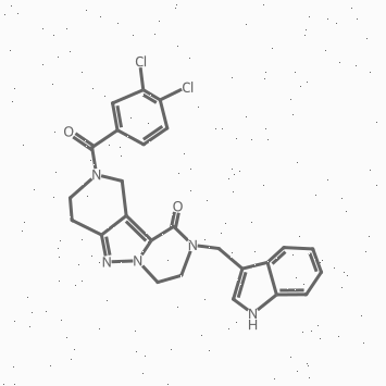 O=C(c1ccc(Cl)c(Cl)c1)N1CCc2nn3c(c2C1)C(=O)N(Cc1c[nH]c2ccccc12)CC3